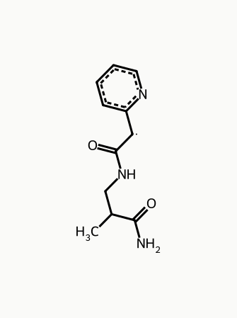 CC(CNC(=O)[CH]c1ccccn1)C(N)=O